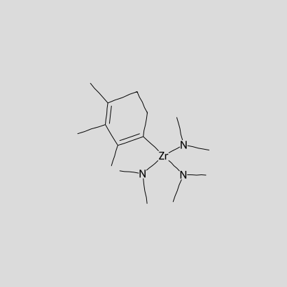 CC1=C(C)C(C)=[C]([Zr]([N](C)C)([N](C)C)[N](C)C)CC1